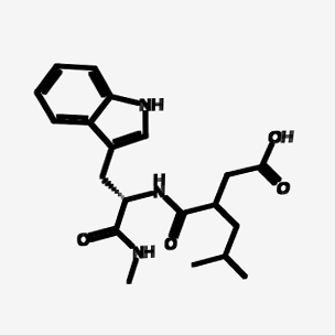 CNC(=O)[C@H](Cc1c[nH]c2ccccc12)NC(=O)C(CC(=O)O)CC(C)C